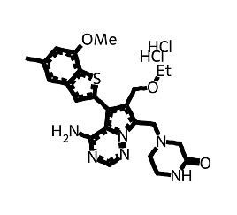 CCOCc1c(-c2cc3cc(C)cc(OC)c3s2)c2c(N)ncnn2c1CN1CCNC(=O)C1.Cl.Cl